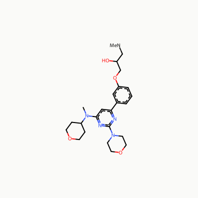 CNCC(O)COc1cccc(-c2cc(N(C)C3CCOCC3)nc(N3CCOCC3)n2)c1